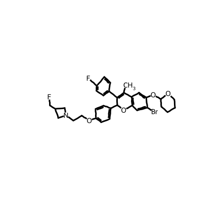 CC1=C(c2ccc(F)cc2)C(c2ccc(OCCN3CC(CF)C3)cc2)Oc2cc(Br)c(OC3CCCCO3)cc21